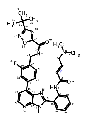 CN(C)C/C=C/C(=O)Nc1ccccc1-c1nc2c(-c3ccc(CNC(=O)c4nc(C(C)(C)C)no4)c(F)c3)ccnc2[nH]1